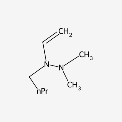 C=CN(CCCC)N(C)C